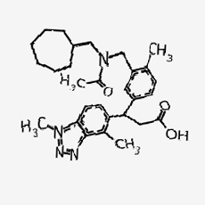 CC(=O)N(Cc1cc(C(CC(=O)O)c2ccc3c(nnn3C)c2C)ccc1C)CC1CCCCCC1